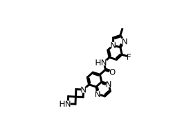 Cc1cn2cc(NC(=O)c3ccc(N4CC5(CNC5)C4)c4nccnc34)cc(F)c2n1